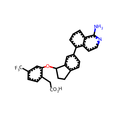 Nc1nccc2c(-c3ccc4c(c3)C(Oc3cc(C(F)(F)F)ccc3CC(=O)O)CC4)cccc12